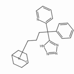 c1ccc(C(CCCN2CC3CCC(CC3)C2)(c2ccccn2)c2nnn[nH]2)cc1